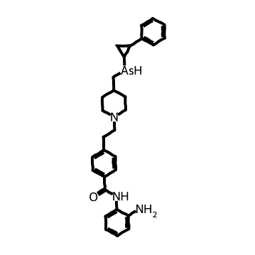 Nc1ccccc1NC(=O)c1ccc(CCN2CCC(C[AsH]C3CC3c3ccccc3)CC2)cc1